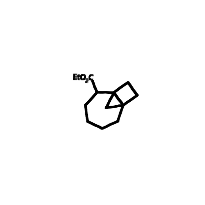 CCOC(=O)C1CCCCC23CCC12C3